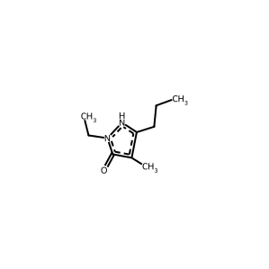 CCCc1[nH]n(CC)c(=O)c1C